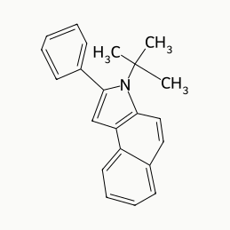 CC(C)(C)n1c(-c2ccccc2)cc2c3ccccc3ccc21